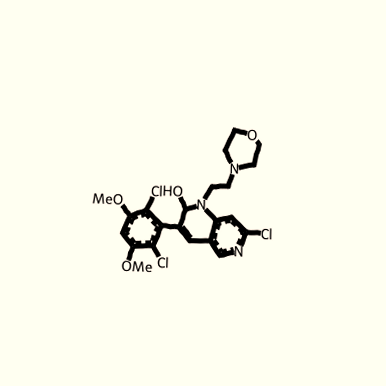 COc1cc(OC)c(Cl)c(C2=Cc3cnc(Cl)cc3N(CCN3CCOCC3)C2O)c1Cl